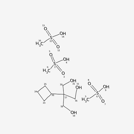 CS(=O)(=O)O.CS(=O)(=O)O.CS(=O)(=O)O.OCC(CO)(CO)C1CCC1